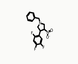 O=[N+]([O-])C1CN(Cc2ccccc2)CC1c1cc(F)c(F)cc1F